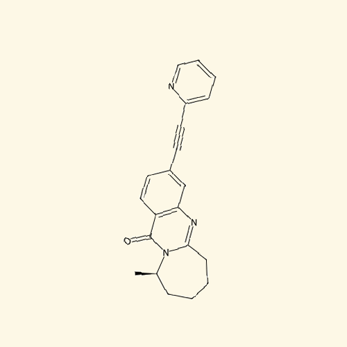 C[C@@H]1CCCCc2nc3cc(C#Cc4ccccn4)ccc3c(=O)n21